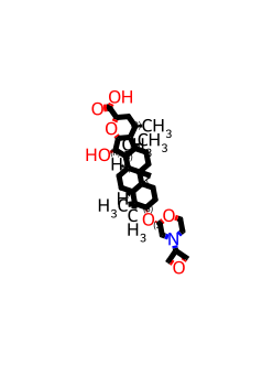 C[C@@H]1CC(C(=O)O)OC2C1[C@@]1(C)CCC34C[C@@]35CC[C@H](O[C@H]3CN(C6COC6)CCO3)C(C)(C)[C@@H]5CC[C@H]4[C@]1(C)[C@H]2O